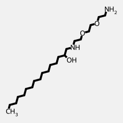 CCCCCCCCCCCCCCC(O)CNCCOCCOCCN